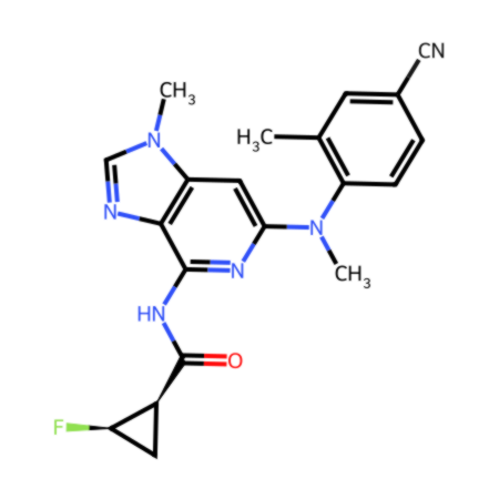 Cc1cc(C#N)ccc1N(C)c1cc2c(ncn2C)c(NC(=O)[C@H]2C[C@H]2F)n1